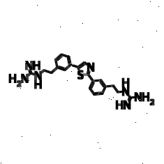 N=C(N)NCCc1cccc(-c2cnc(-c3cccc(CCNC(=N)N)c3)s2)c1